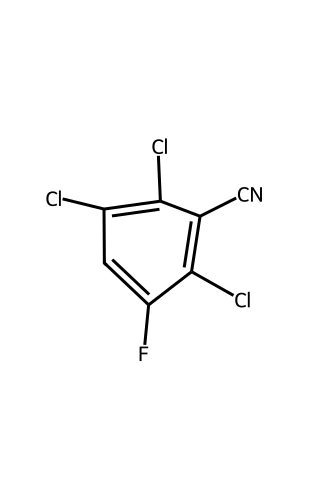 N#Cc1c(Cl)c(F)cc(Cl)c1Cl